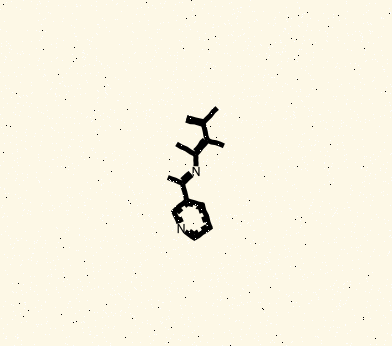 C=C(C)/C(C)=C(C)/N=C(\C)c1cccnc1